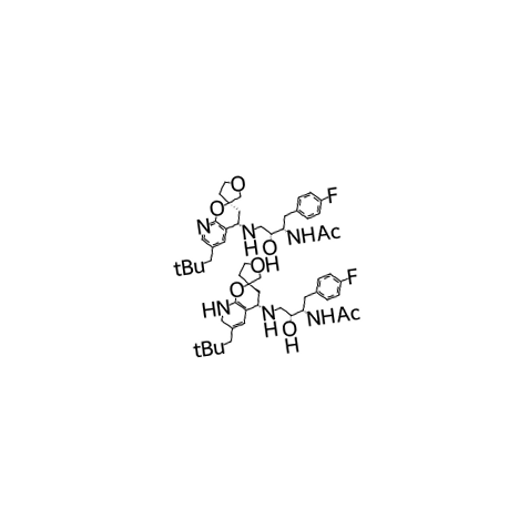 CC(=O)N[C@@H](Cc1ccc(F)cc1)[C@H](O)CN[C@H]1C[C@@]2(CCOC2)Oc2ncc(CC(C)(C)C)cc21.CC(=O)N[C@@H](Cc1ccc(F)cc1)[C@H](O)CN[C@H]1C[C@]2(CCOC2)OC2=C1C=C(CC(C)(C)C)CN2